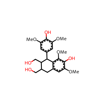 COc1cc(C2c3c(cc(OC)c(O)c3OC)CC(CO)C2CO)cc(OC)c1O